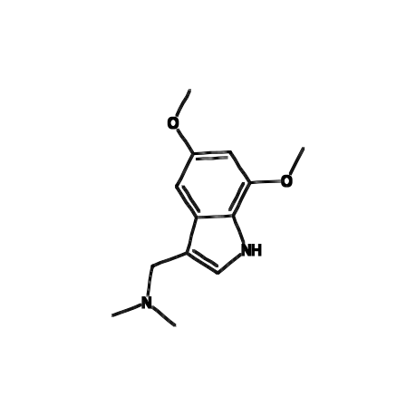 COc1cc(OC)c2[nH]cc(CN(C)C)c2c1